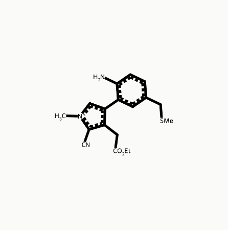 CCOC(=O)Cc1c(-c2cc(CSC)ccc2N)cn(C)c1C#N